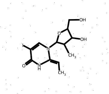 CC=C1NC(=O)C(I)=CN1C1OC(CO)C(O)C1C